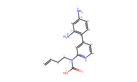 C=CCCN(C(=O)O)c1cc(-c2ccc(N)cc2N)ccn1